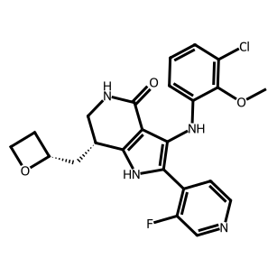 COc1c(Cl)cccc1Nc1c(-c2ccncc2F)[nH]c2c1C(=O)NC[C@H]2C[C@H]1CCO1